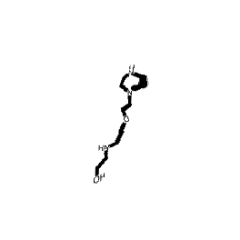 OCCNCCOCCN1CCNCC1